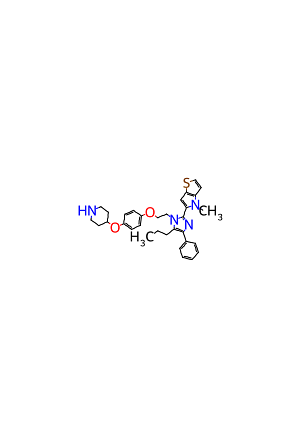 CCCc1c(-c2ccccc2)nc(-c2cc3sccc3n2C)n1CCOc1ccc(OC2CCNCC2)cc1